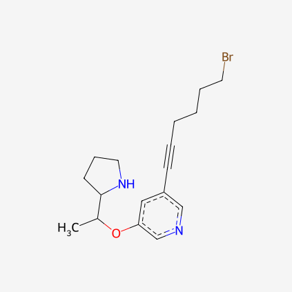 CC(Oc1cncc(C#CCCCCBr)c1)C1CCCN1